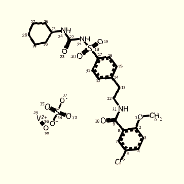 COc1ccc(Cl)cc1C(=O)NCCc1ccc(S(=O)(=O)NC(=O)NC2CCCCC2)cc1.O=S(=O)([O-])[O-].[O]=[V+2]